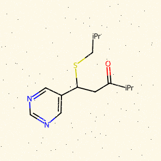 CC(C)CSC(CC(=O)C(C)C)c1cncnc1